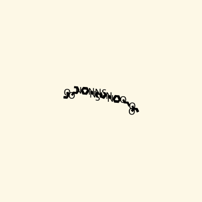 C=CC(=O)OCCCOc1ccc(/N=N/c2cc3sc(/N=N/c4ccc(N(CC)CCOC(=O)C=C)cc4)nc3s2)cc1